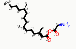 C/C(=C\C(=O)OC(=O)CN)CCC[C@H](C)CCC[C@H](C)CCCC(C)C